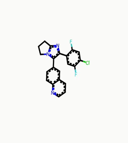 Fc1cc(-c2nc3n(c2-c2ccc4ncccc4c2)CCC3)c(F)cc1Cl